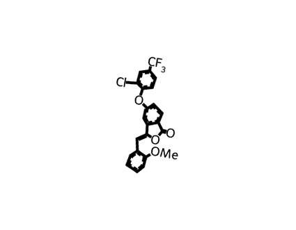 COc1ccccc1C=C1OC(=O)c2ccc(Oc3ccc(C(F)(F)F)cc3Cl)cc21